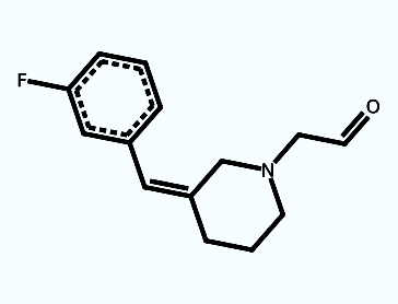 O=CCN1CCCC(=Cc2cccc(F)c2)C1